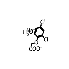 O.O=C([O-])COc1ccc(Cl)cc1Cl.[Na+]